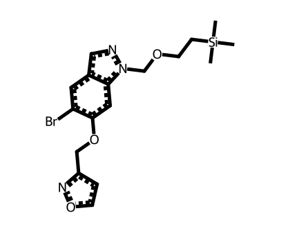 C[Si](C)(C)CCOCn1ncc2cc(Br)c(OCc3ccon3)cc21